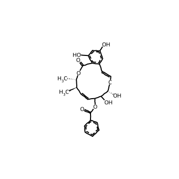 C[C@@H]1/C=C\C(OC(=O)c2ccccc2)C(O)[C@@H](O)C/C=C/c2cc(O)cc(O)c2C(=O)O[C@H]1C